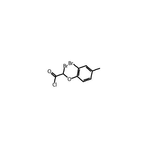 Cc1ccc(OC(Br)C(=O)Cl)c(Br)c1